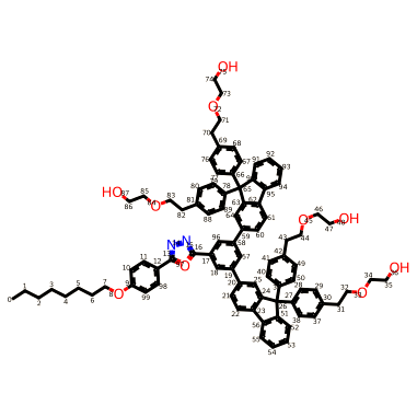 CCCCCCCCOc1ccc(-c2nnc(-c3cc(-c4ccc5c(c4)C(c4ccc(CCOCCO)cc4)(c4ccc(CCOCCO)cc4)c4ccccc4-5)cc(-c4ccc5c(c4)C(c4ccc(CCOCCO)cc4)(c4ccc(CCOCCO)cc4)c4ccccc4-5)c3)o2)cc1